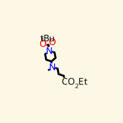 CCOC(=O)CCCN(C)C1CCN(C(=O)OC(C)(C)C)CC1